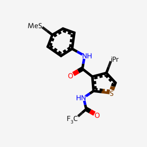 CSc1ccc(NC(=O)c2c(C(C)C)csc2NC(=O)C(F)(F)F)cc1